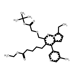 CCOC(=O)CCCCc1c(COCC(=O)OC(C)(C)C)nn2c(CC)ccc2c1-c1cncc(C)c1